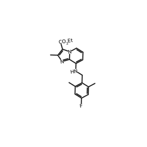 CCOC(=O)c1c(C)nc2c(NCc3c(C)cc(F)cc3C)cccn12